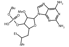 CCCC(CC)CC1OC(n2cnc3c(N)nc(N)nc32)C(OC)C1OP(=O)(O)OC(C)CC